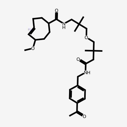 COC1/C=C/CCC(C(=O)NCC(C)(C)COCC(C)(C)CC(=O)NCc2ccc(C(C)=O)cc2)CC1